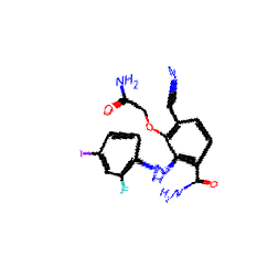 N#Cc1ccc(C(N)=O)c(Nc2ccc(I)cc2F)c1OCC(N)=O